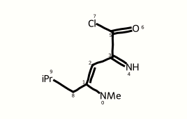 CN/C(=C\C(=N)C(=O)Cl)CC(C)C